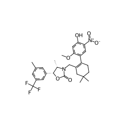 COc1cc(O)c([N+](=O)[O-])cc1C1=C(CN2C(=O)O[C@H](c3cc(C)cc(C(F)(F)F)c3)[C@@H]2C)CC(C)(C)CC1